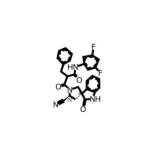 N#C[C@@H]1C[C@@]2(CN1C(=O)C(Cc1ccccc1)C(=O)Nc1cc(F)cc(F)c1)C(=O)Nc1ccccc12